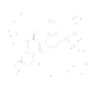 CNC(=O)c1c(-c2ccc(F)cc2)oc2cc(N(C)C)c(OC)cc12